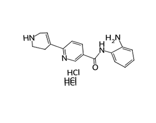 Cl.Cl.Cl.Nc1ccccc1NC(=O)c1ccc(C2=CCNCC2)nc1